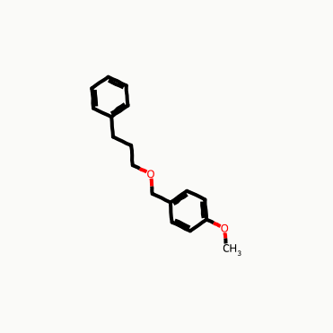 COc1ccc(COCCCc2ccccc2)cc1